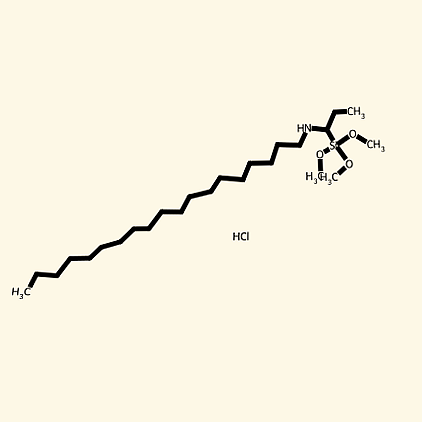 CCCCCCCCCCCCCCCCCCCNC(CC)[Si](OC)(OC)OC.Cl